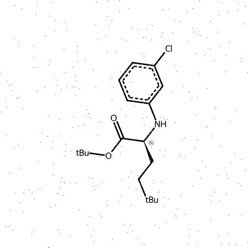 CC(C)(C)CC[C@H](Nc1cccc(Cl)c1)C(=O)OC(C)(C)C